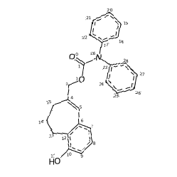 O=C(OCC1=Cc2cccc(O)c2CCC1)N(c1ccccc1)c1ccccc1